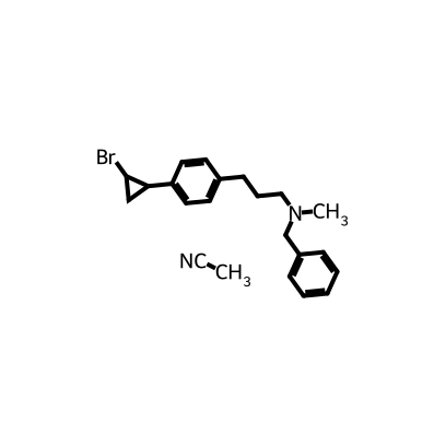 CC#N.CN(CCCc1ccc(C2CC2Br)cc1)Cc1ccccc1